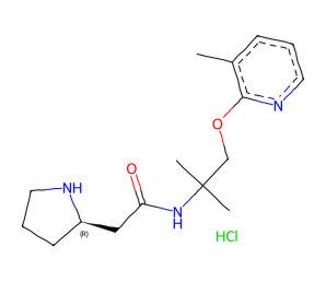 Cc1cccnc1OCC(C)(C)NC(=O)C[C@H]1CCCN1.Cl